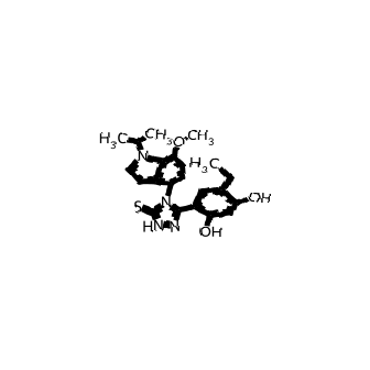 CCc1cc(-c2n[nH]c(=S)n2-c2ccc(OC)c3c2ccn3C(C)C)c(O)cc1O